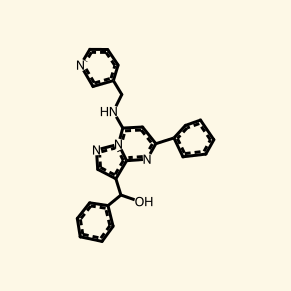 OC(c1ccccc1)c1cnn2c(NCc3cccnc3)cc(-c3ccccc3)nc12